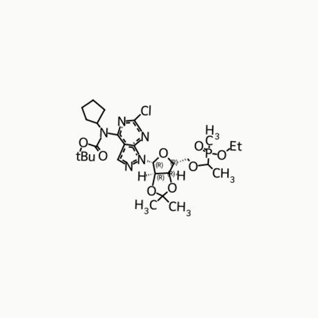 CCOP(C)(=O)C(C)OC[C@H]1O[C@@H](n2ncc3c(N(C(=O)OC(C)(C)C)C4CCCC4)nc(Cl)nc32)[C@@H]2OC(C)(C)O[C@@H]21